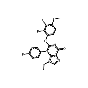 CCn1cnc2c(=O)nc(Oc3ccc(OC)c(F)c3F)n(-c3ccc(F)cc3)c21